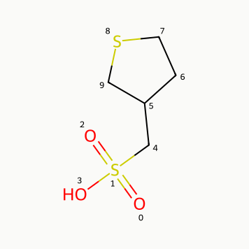 O=S(=O)(O)CC1CCSC1